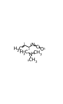 C=CCN=C=O.CN(C)C